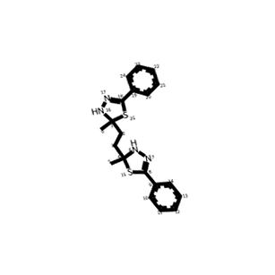 CC1(CCC2(C)NN=C(c3ccccc3)S2)NN=C(c2ccccc2)S1